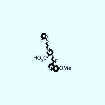 COc1ccc2nccc(C(F)CC[C@@H]3CCN(CCCSc4ncccc4F)C[C@@H]3CC(=O)O)c2c1